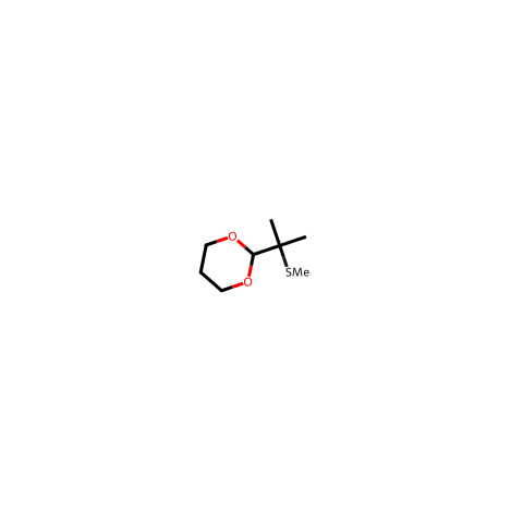 CSC(C)(C)C1OCCCO1